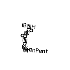 CCCCCc1ccc(-c2nnc(N(C)c3ccc(/N=N/c4ccc(/N=N/c5ccc(NC(C)CC)c6ccccc56)c5ccccc45)cc3)s2)cc1